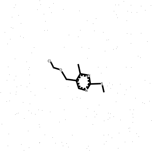 CSc1ncc(COCCl)c(C)n1